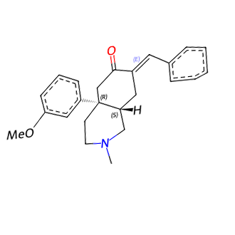 COc1cccc([C@@]23CCN(C)C[C@H]2C/C(=C\c2ccccc2)C(=O)C3)c1